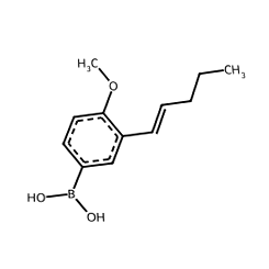 CCC/C=C/c1cc(B(O)O)ccc1OC